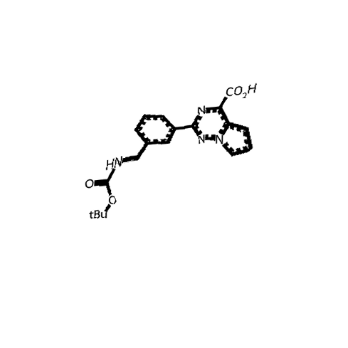 CC(C)(C)OC(=O)NCc1cccc(-c2nc(C(=O)O)c3cccn3n2)c1